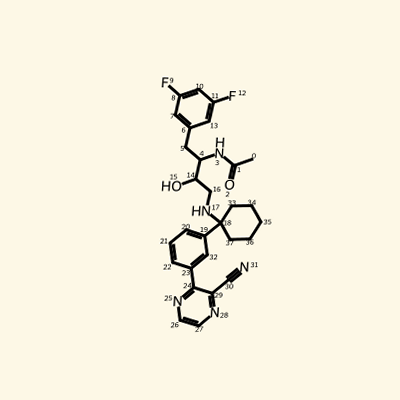 CC(=O)NC(Cc1cc(F)cc(F)c1)C(O)CNC1(c2cccc(-c3nccnc3C#N)c2)CCCCC1